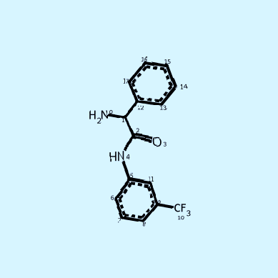 NC(C(=O)Nc1cccc(C(F)(F)F)c1)c1ccccc1